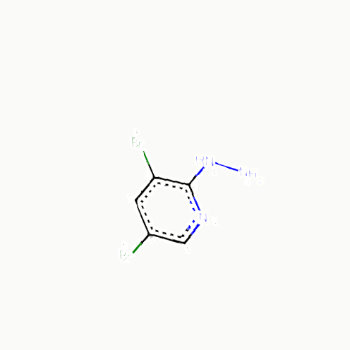 NNc1ncc(Br)cc1Br